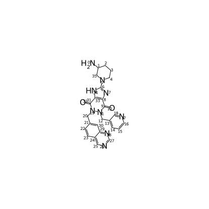 NC1CCCN(c2nc3c(=O)n(Cc4cccnc4)n(Cc4ccc5cncnc5c4)c(=O)c3[nH]2)C1